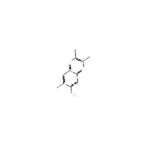 Cc1cc2nc(C)c(C)nc2cc1O